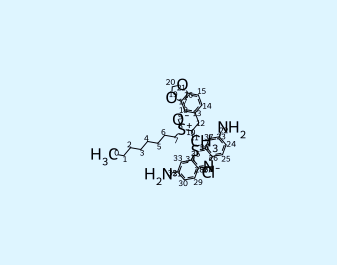 CCCCCCCC[S+]([O-])C(C)Cc1ccc2c(c1)OCO2.Nc1ccc2nc3ccc(N)cc3[s+]c2c1.[Cl-]